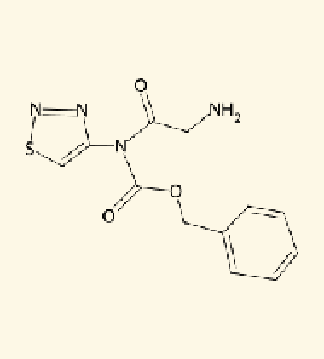 NCC(=O)N(C(=O)OCc1ccccc1)c1csnn1